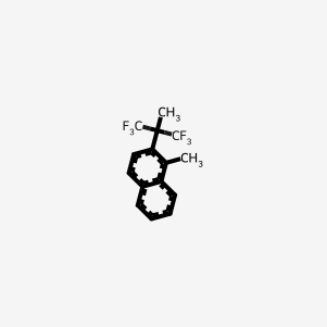 Cc1c(C(C)(C(F)(F)F)C(F)(F)F)ccc2ccccc12